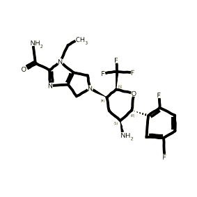 CCn1c(C(N)=O)nc2c1CN([C@@H]1C[C@H](N)[C@@H](c3cc(F)ccc3F)O[C@@H]1C(F)(F)F)C2